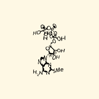 CSc1nc(N)c2ncn([C@@H]3O[C@H](COP(=O)(O)OP(=O)(O)OP(=O)(O)O)[C@@H](O)[C@H]3O)c2n1